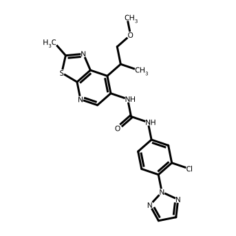 COCC(C)c1c(NC(=O)Nc2ccc(-n3nccn3)c(Cl)c2)cnc2sc(C)nc12